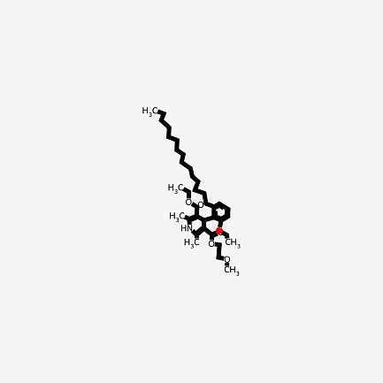 CCCCCCCCCCCCCCCc1cccc(OCC)c1C1C(C(=O)OCC)=C(C)NC(C)=C1C(=O)OCCOC